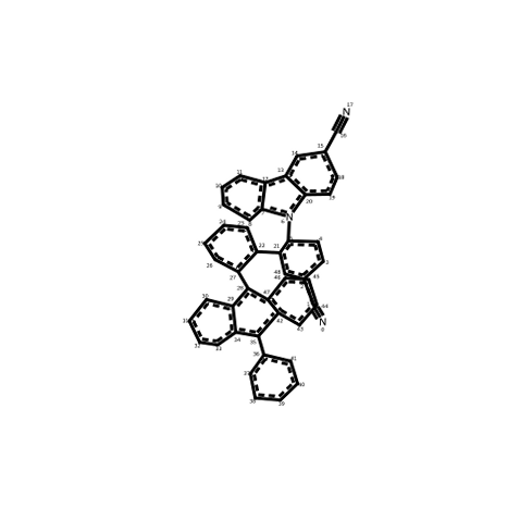 N#Cc1ccc(-n2c3ccccc3c3cc(C#N)ccc32)c(-c2ccccc2-c2c3ccccc3c(-c3ccccc3)c3ccccc23)c1